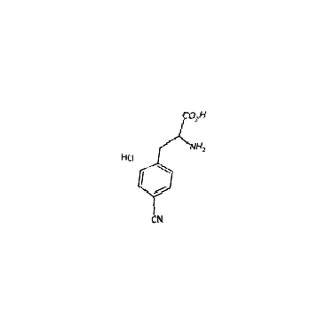 Cl.N#Cc1ccc(CC(N)C(=O)O)cc1